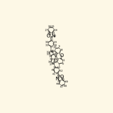 c1ccc2c(c1)Oc1ccccc1C21c2cc(-c3ccc(-c4nc5ccccc5o4)cc3)ccc2-c2ccc(-c3ccc(-c4nc5ccccc5o4)cc3)cc21